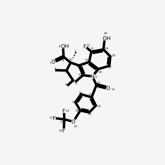 CCC(C)[C@@](C)(C(=O)O)c1c(C)n(C(=O)c2ccc(OC(F)(F)F)cc2)c2ccc(O)c(F)c12